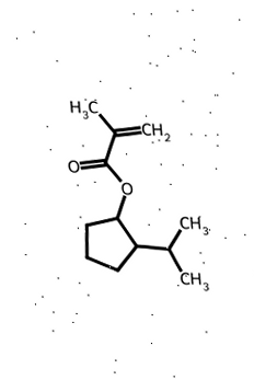 C=C(C)C(=O)OC1CCCC1C(C)C